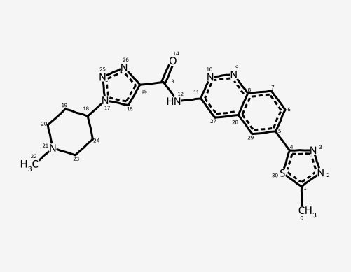 Cc1nnc(-c2ccc3nnc(NC(=O)c4cn(C5CCN(C)CC5)nn4)cc3c2)s1